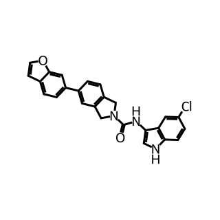 O=C(Nc1c[nH]c2ccc(Cl)cc12)N1Cc2ccc(-c3ccc4ccoc4c3)cc2C1